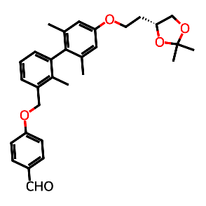 Cc1cc(OCC[C@@H]2COC(C)(C)O2)cc(C)c1-c1cccc(COc2ccc(C=O)cc2)c1C